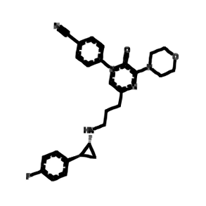 N#Cc1ccc(-n2cc(CCCN[C@@H]3C[C@H]3c3ccc(F)cc3)nc(N3CCOCC3)c2=O)cc1